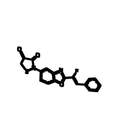 O=C1CSN(c2ccc3oc(/C(F)=C/c4ccccc4)nc3c2)C1=O